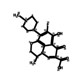 CC1COc2c(N3CCN(C)CC3)c(F)c(O)c3c(=O)c(C(=O)O)cn1c23